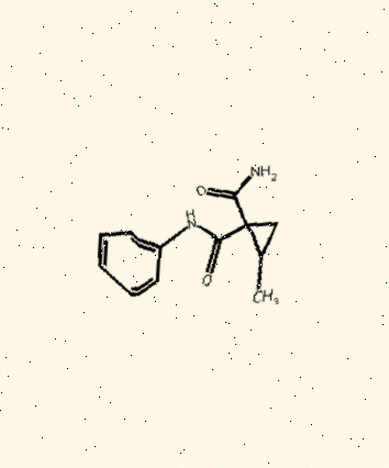 CC1CC1(C(N)=O)C(=O)Nc1ccccc1